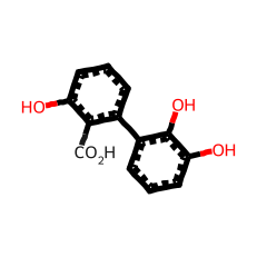 O=C(O)c1c(O)cccc1-c1cccc(O)c1O